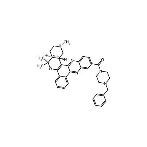 C[C@H]1CC[C@H]2[C@H](C1)c1c(c3ccccc3c3nc4cc(C(=O)N5CCN(Cc6ccccc6)CC5)ccc4nc13)OC2(C)C